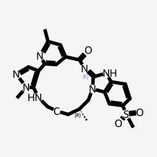 Cc1cc2cc(n1)-c1cnn(C)c1NCCC[C@@H](C)CN1/C(=N/C2=O)Nc2ccc(S(C)(=O)=O)cc21